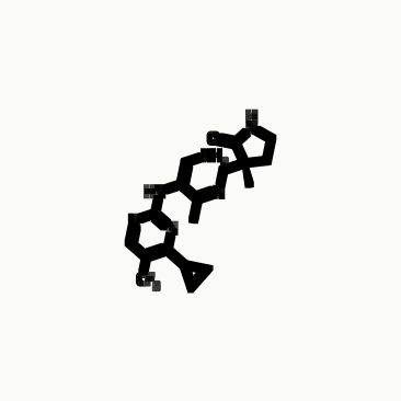 CC(=N/C[C@@]1(C)CCNC1=O)/C(=C\N)Nc1ncc(C(F)(F)F)c(C2CC2)n1